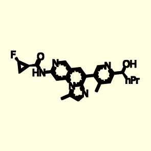 CCC[C@H](O)c1cc(C)c(-c2cc3cnc(NC(=O)[C@H]4C[C@H]4F)cc3n3c(C)cnc23)cn1